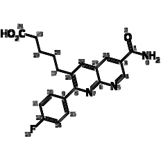 NC(=O)c1cnc2nc(-c3ccc(F)cc3)c(CCCCC(=O)O)cc2c1